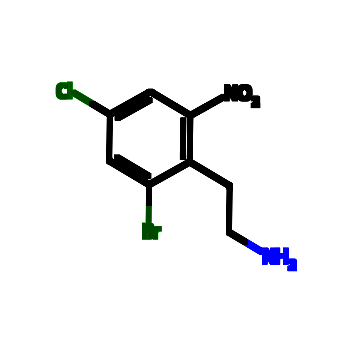 NCCc1c(Br)cc(Cl)cc1[N+](=O)[O-]